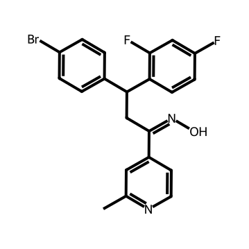 Cc1cc(/C(CC(c2ccc(Br)cc2)c2ccc(F)cc2F)=N\O)ccn1